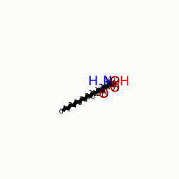 CCCCCCCCCCCCCCC(=O)CCC(N)C(=O)O